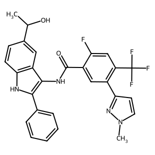 CC(O)c1ccc2[nH]c(-c3ccccc3)c(NC(=O)c3cc(-c4ccn(C)n4)c(C(F)(F)F)cc3F)c2c1